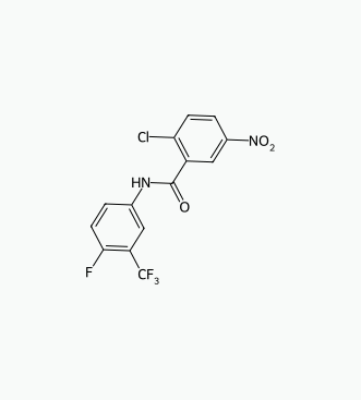 O=C(Nc1ccc(F)c(C(F)(F)F)c1)c1cc([N+](=O)[O-])ccc1Cl